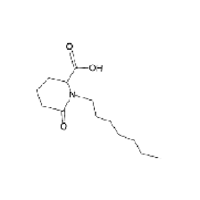 CCCCCCCN1C(=O)CCCC1C(=O)O